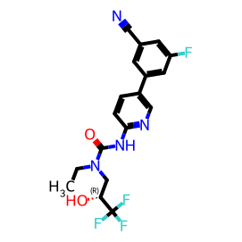 CCN(C[C@@H](O)C(F)(F)F)C(=O)Nc1ccc(-c2cc(F)cc(C#N)c2)cn1